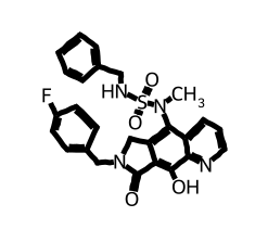 CN(c1c2c(c(O)c3ncccc13)C(=O)N(Cc1ccc(F)cc1)C2)S(=O)(=O)NCc1ccccc1